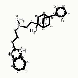 CN(CCCc1nc2ccccc2[nH]1)CCC1(O)CC2CCC1C=C2c1cccs1